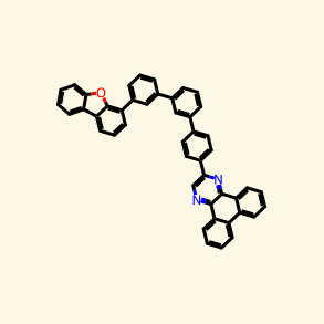 c1cc(-c2ccc(-c3cnc4c5ccccc5c5ccccc5c4n3)cc2)cc(-c2cccc(-c3cccc4c3oc3ccccc34)c2)c1